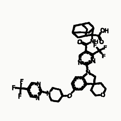 O=C(NC1(C(=O)O)C2CC3CC(C2)CC1C3)c1cnc(N2CC3(CCOCC3)c3cc(OC4CCN(c5ncc(C(F)(F)F)cn5)CC4)ccc32)nc1C(F)(F)F